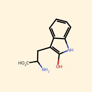 NC(Cc1c(O)[nH]c2ccccc12)C(=O)O